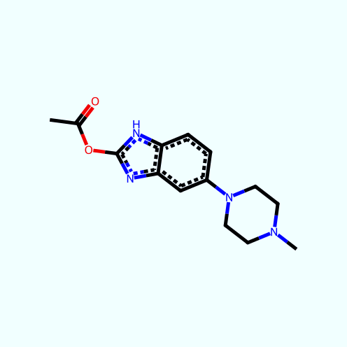 CC(=O)Oc1nc2cc(N3CCN(C)CC3)ccc2[nH]1